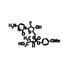 COc1ccc(OP(=O)(NC(C)C(=O)O)OC[C@H]2S[C@@H](n3ccc(N)nc3=O)[C@@H](F)[C@@H]2O)cc1